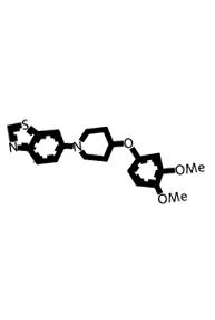 COc1ccc(OC2CCN(c3c[c]c4ncsc4c3)CC2)cc1OC